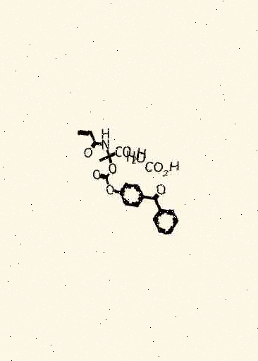 C=CC(=O)NC(C)(OC(=O)Oc1ccc(C(=O)c2ccccc2)cc1)C(=O)O.O=C(O)O